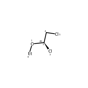 CCO[C@H](Cl)CCl